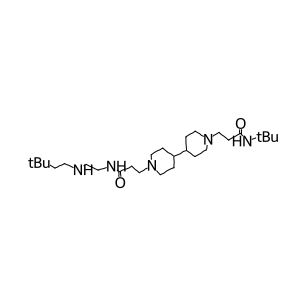 CC(C)(C)CCNCCNC(=O)CCN1CCC(C2CCN(CCC(=O)NC(C)(C)C)CC2)CC1